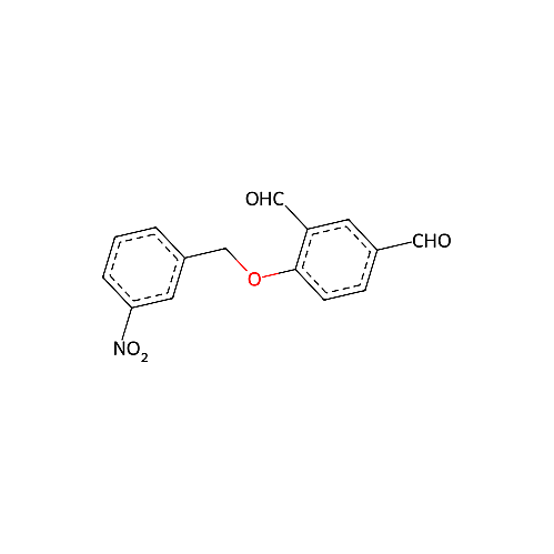 O=Cc1ccc(OCc2cccc([N+](=O)[O-])c2)c(C=O)c1